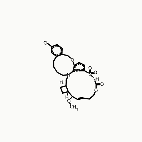 CO[C@@H]1/C=C/CCOC(=O)NS(=O)(=O)c2ccc3c(c2)N(CCCCc2cc(Cl)ccc2CO3)C[C@@H]2CC[C@H]21